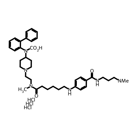 CNCCCNC(=O)c1ccc(NCCCCCC(=O)N(C)CCN2CCC(N(C(=O)O)c3ccccc3-c3ccccc3)CC2)cc1.Cl.Cl.Cl